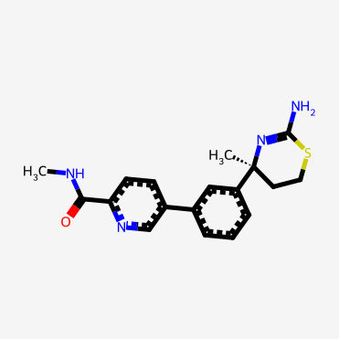 CNC(=O)c1ccc(-c2cccc([C@]3(C)CCSC(N)=N3)c2)cn1